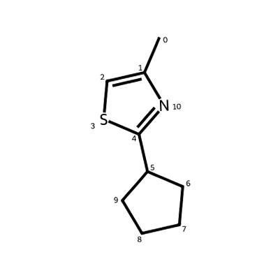 Cc1csc(C2CCCC2)n1